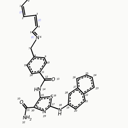 C\C=C/C=C\C=N\Cc1ccc(C(=O)Nc2sc(Nc3ccc4ccccc4c3)nc2C(N)=O)cc1